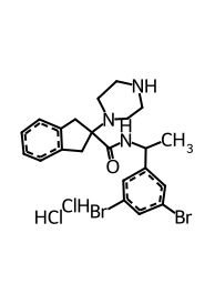 CC(NC(=O)C1(N2CCNCC2)Cc2ccccc2C1)c1cc(Br)cc(Br)c1.Cl.Cl